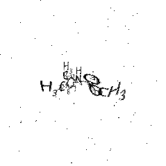 COC(=O)CNc1ccc(C)c(C)c1